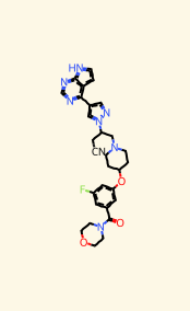 N#CCC(CN1CCC(Oc2cc(F)cc(C(=O)N3CCOCC3)c2)CC1)n1cc(-c2ncnc3[nH]ccc23)cn1